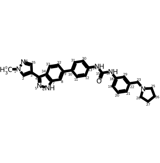 Cn1cc(-c2n[nH]c3cc(-c4ccc(NC(=O)Nc5cccc(CN6CCCC6)c5)cc4)ccc23)cn1